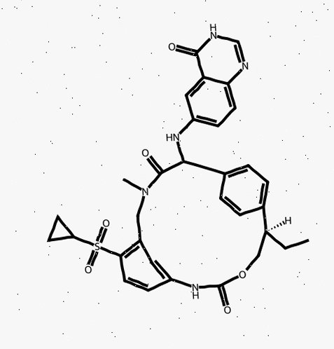 CC[C@H]1COC(=O)Nc2ccc(S(=O)(=O)C3CC3)c(c2)CN(C)C(=O)C(Nc2ccc3nc[nH]c(=O)c3c2)c2ccc1cc2